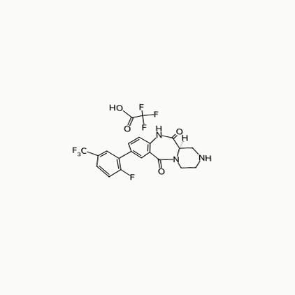 O=C(O)C(F)(F)F.O=C1Nc2ccc(-c3cc(C(F)(F)F)ccc3F)cc2C(=O)N2CCNC[C@H]12